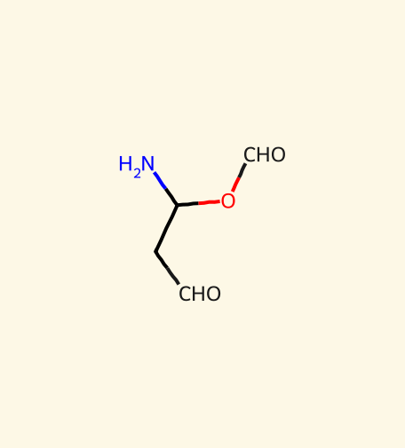 NC(CC=O)OC=O